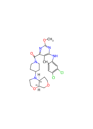 COc1nc(Nc2ccc(Cl)c(Cl)c2)c(C)c(C(=O)N2CCC(N3CCO[C@@H]4COCC[C@@H]43)CC2)n1